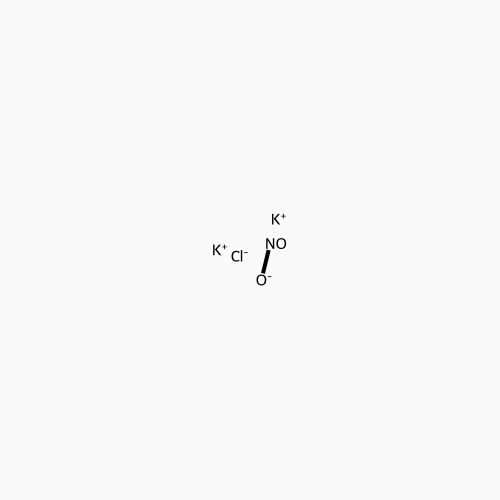 O=N[O-].[Cl-].[K+].[K+]